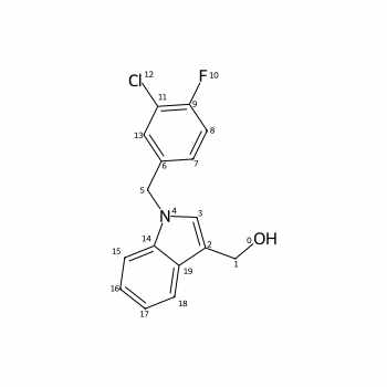 OCc1cn(Cc2ccc(F)c(Cl)c2)c2ccccc12